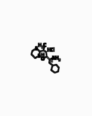 CC(CC(O)[C@@H](N)CC1CCCCC1)C1SCCCS1.Cl